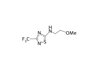 COCCNc1nc(C(F)(F)F)ns1